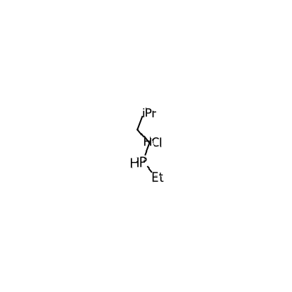 CCPCCC(C)C.Cl